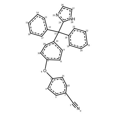 N#Cc1ccc(Oc2ccc(C(c3ccccc3)(c3ccccc3)c3ncc[nH]3)cc2)cc1